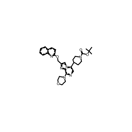 CC(C)(C)OC(=O)N1CCC(c2cnc(N3CCOCC3)c3nc(COc4ccc5ccccc5n4)cn23)CC1